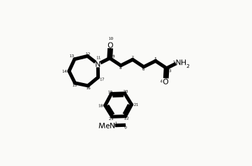 CNC.NC(=O)CCCCC(=O)N1CCCCCC1.c1ccccc1